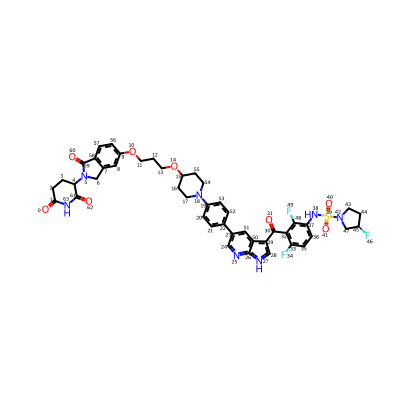 O=C1CCC(N2Cc3cc(OCCCOC4CCN(c5ccc(-c6cnc7[nH]cc(C(=O)c8c(F)ccc(NS(=O)(=O)N9CC[C@@H](F)C9)c8F)c7c6)cc5)CC4)ccc3C2=O)C(=O)N1